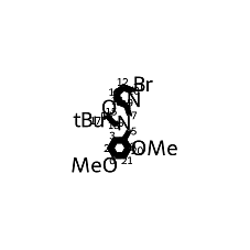 COc1ccc(CN2Cc3nc(Br)ccc3O[C@H](C(C)(C)C)C2)c(OC)c1